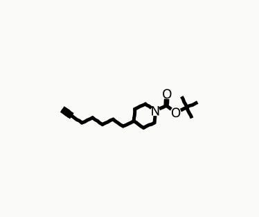 C#CCCCCCC1CCN(C(=O)OC(C)(C)C)CC1